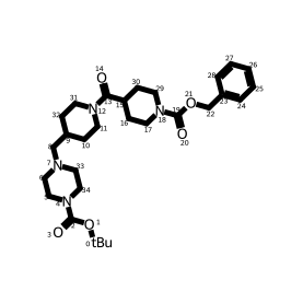 CC(C)(C)OC(=O)N1CCN(CC2CCN(C(=O)C3CCN(C(=O)OCc4ccccc4)CC3)CC2)CC1